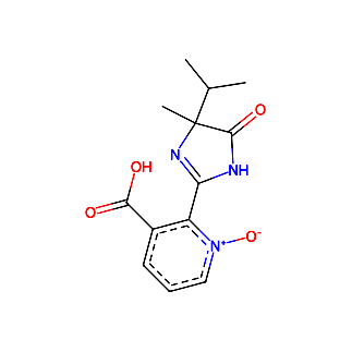 CC(C)C1(C)N=C(c2c(C(=O)O)ccc[n+]2[O-])NC1=O